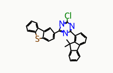 CC1(C)c2ccccc2-c2cccc(-c3nc(Cl)nc(-c4ccc5sc6ccccc6c5c4)n3)c21